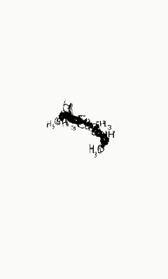 CCC(CC)(OC(=O)CC(=O)OC(CC)(CC)c1ccc2c(c1)[nH]c1ccc(SC)cc12)c1ccc2c(c1)[nH]c1ccc(SC)cc12